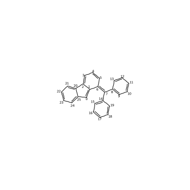 C1=c2c(cccc2=C(c2ccccc2)c2ccccc2)-c2ccccc21